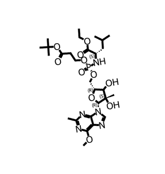 CCOC(=O)[C@H](CC(C)C)NP(=O)(OCCC(=O)OC(C)(C)C)OC[C@H]1O[C@@H](n2cnc3c(OC)nc(C)nc32)[C@@](C)(O)C1O